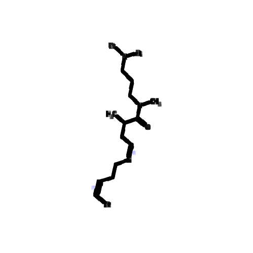 CC/C=C\CC/N=C\CC(C)C(=O)N(C)CCCN(CC)CC